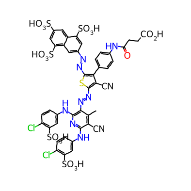 Cc1c(C#N)c(Nc2ccc(Cl)c(S(=O)(=O)O)c2)nc(Nc2ccc(Cl)c(S(=O)(=O)O)c2)c1N=Nc1sc(N=Nc2cc(S(=O)(=O)O)c3cc(S(=O)(=O)O)cc(S(=O)(=O)O)c3c2)c(-c2ccc(NC(=O)CCC(=O)O)cc2)c1C#N